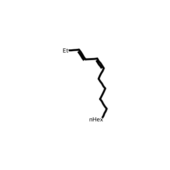 CC/C=C/C=C\CCCCCCCCCC